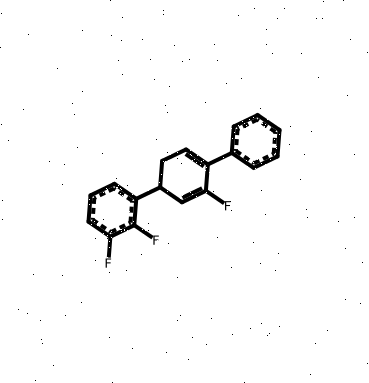 FC1=CC(c2cccc(F)c2F)CC=C1c1ccccc1